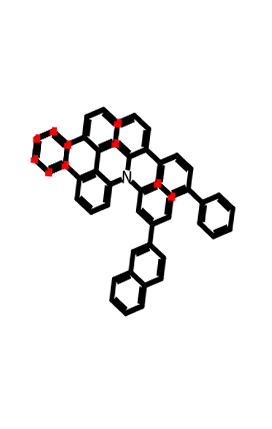 c1ccc(-c2ccc(-c3ccccc3N(c3cccc(-c4ccc5ccccc5c4)c3)c3cccc(-c4ccccc4)c3-c3ccccc3-c3ccccc3)cc2)cc1